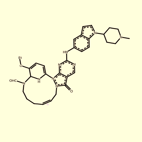 CCOC1=CC=C2NC1N(C=O)CCC/C=C\Cn1c(=O)c3cnc(Nc4ccc5c(ccn5C5CCN(C)CC5)c4)nc3n12